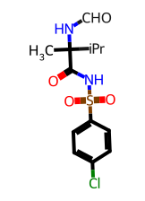 CC(C)C(C)(NC=O)C(=O)NS(=O)(=O)c1ccc(Cl)cc1